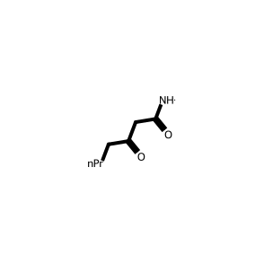 CCCCC(=O)CC([NH])=O